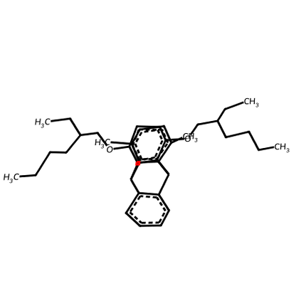 CCCCC(CC)COc1ccc(OCC(CC)CCCC)c2c1C1c3ccccc3C2c2c(C)ccc(C)c21